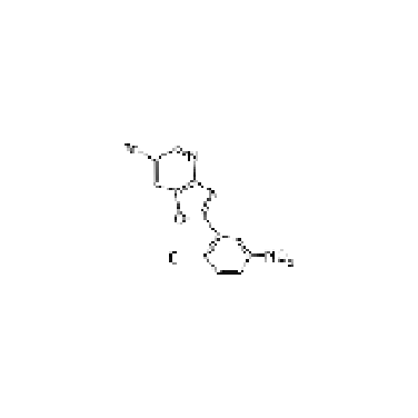 O=[N+]([O-])c1ccc(Cl)c(-c2nc3ncc(Br)cc3o2)c1